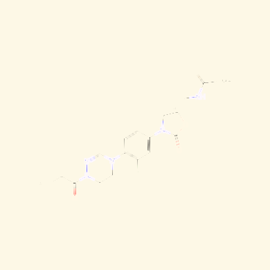 COC(=S)NC[C@H]1CN(c2ccc(N3C=NN(C(=O)COC(C)=O)CC3)c(F)c2)C(=O)O1